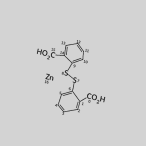 O=C(O)c1ccccc1SSc1ccccc1C(=O)O.[Zn]